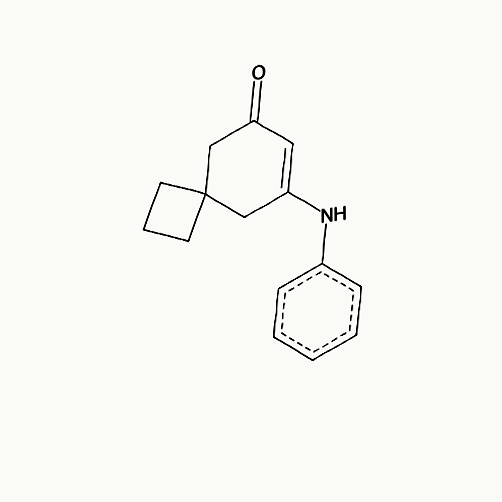 O=C1C=C(Nc2ccccc2)CC2(CCC2)C1